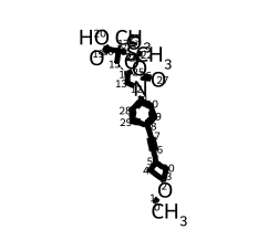 CCOC1CC(C#Cc2ccc(N3C[C@H](C[C@](C)(C(=O)O)S(C)(=O)=O)OC3=O)cc2)C1